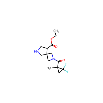 CCOC(=O)C1CNCC12CN(C(=O)C1(C)CC1(F)F)C2